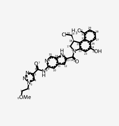 COCCn1cc(C(=O)Nc2cc3cc(C(=O)N4C[C@@H](CCl)c5c4cc(O)c4cccc(C)c54)[nH]c3cn2)nn1